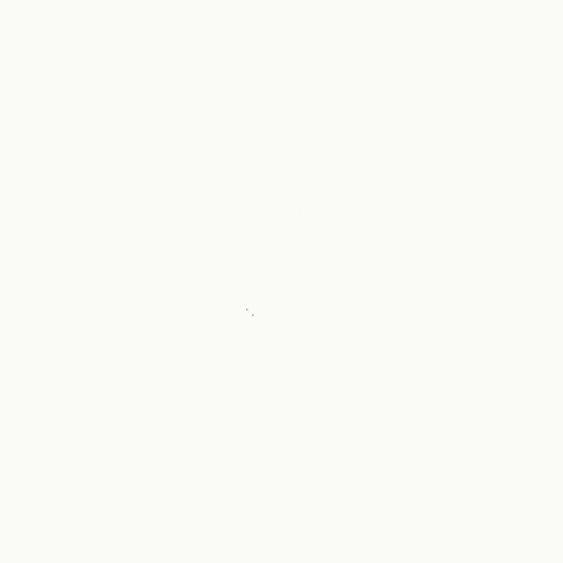 CCn1c2ccc(-c3ccccc3)cc2c2cc(-c3cccc4c3oc3c(-c5ccccc5)cccc34)ccc21